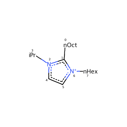 CCCCCCCCc1n(C(C)C)cc[n+]1CCCCCC